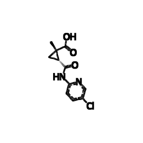 C[C@]1(C(=O)O)C[C@H]1C(=O)Nc1ccc(Cl)cn1